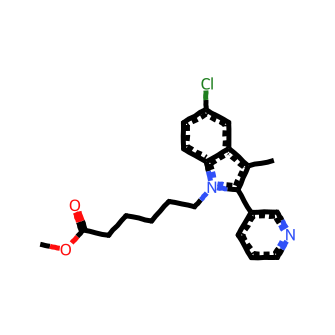 COC(=O)CCCCCn1c(-c2cccnc2)c(C)c2cc(Cl)ccc21